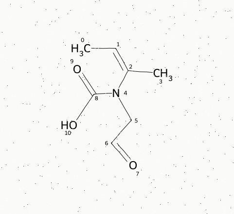 CC=C(C)N(CC=O)C(=O)O